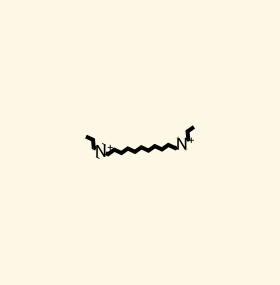 CCC[N+](C)(C)CCCCCCCCCCC[N+](C)(C)CCC